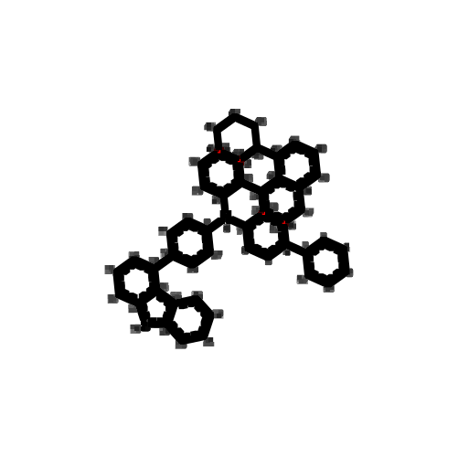 c1ccc(-c2ccc(N(c3ccc(-c4cccc5sc6ccccc6c45)cc3)c3ccccc3-c3cccc4cccc(C5CCCCC5)c34)cc2)cc1